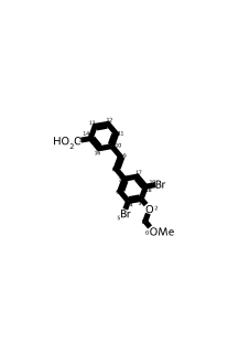 COCOc1c(Br)cc(C=Cc2cccc(C(=O)O)c2)cc1Br